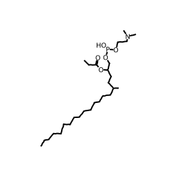 CCCCCCCCCCCCCCCC(C)CCC(COP(O)OCCN(C)C)OC(=O)CC